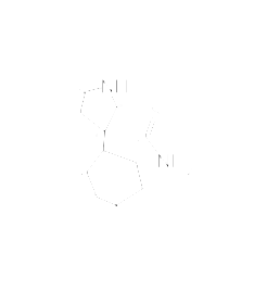 C1CCC(C2CCNC2)CC1.NC=S